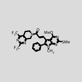 COc1nc(SC)nc2c1c(/C=C/C(=O)N1CCc3c(nc(C(F)(F)F)nc3C(F)(F)F)C1)c(-c1ccccc1)n2C